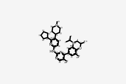 CC(C)N1CC(F)Oc2c(F)cc(-c3nc(Nc4ccc(C5CCN(C)CC5)c(C5CCCC5)n4)ncc3F)cc21